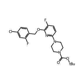 CC(C)(C)OC(=O)N1CCN(c2ccc(F)c(OCc3ccc(Cl)cc3F)n2)CC1